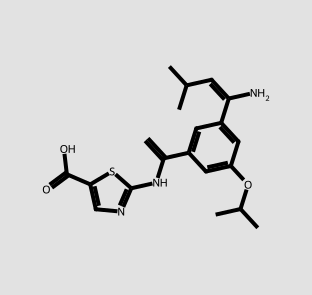 C=C(Nc1ncc(C(=O)O)s1)c1cc(OC(C)C)cc(/C(N)=C\C(C)C)c1